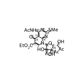 CCOC(=O)c1cn([C@@H]2O[C@H](C(O)C(C)=O)[C@](O)(C(C)=O)[C@]2(O)C(C)=O)c2nc(SC)nc(NC(C)=O)c2c1=O